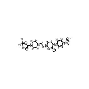 C[S+]([O-])c1ccc(N2CCN(CCC3CCN(C(=O)OC(C)(C)C)CC3)CC2=O)cc1